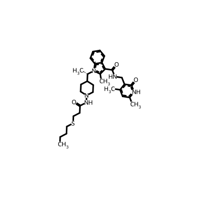 CCCCSCCC(=O)NN1CCC([C@H](C)n2c(C)c(C(=O)NCc3c(C)cc(C)[nH]c3=O)c3ccccc32)CC1